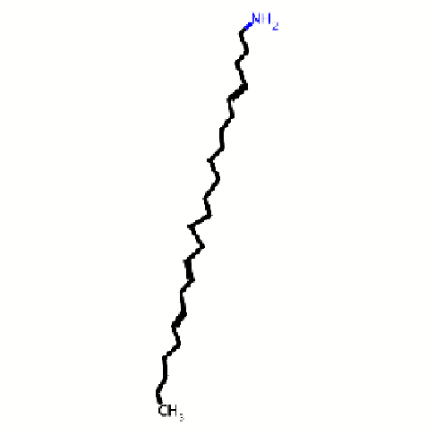 CCCCCC=CCC=CCCCCCCCCCC=CCCCN